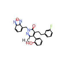 Cc1nn(Cc2cccc3nonc23)c(=O)c(CCc2cccc(F)c2)c1-c1ccccc1O